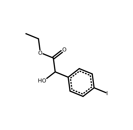 CCOC(=O)C(O)c1ccc(I)cc1